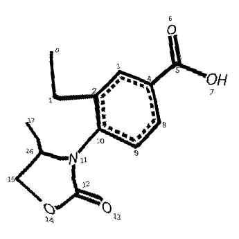 CCc1cc(C(=O)O)ccc1N1C(=O)OCC1C